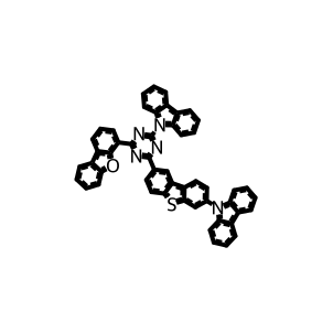 c1ccc2c(c1)oc1c(-c3nc(-c4ccc5sc6cc(-n7c8ccccc8c8ccccc87)ccc6c5c4)nc(-n4c5ccccc5c5ccccc54)n3)cccc12